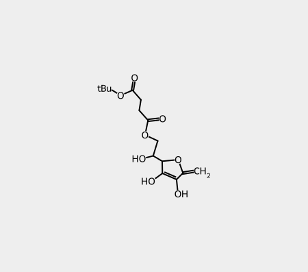 C=C1OC(C(O)COC(=O)CCC(=O)OC(C)(C)C)C(O)=C1O